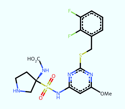 COc1cc(NS(=O)(=O)[C@@]2(NC(=O)O)CCNC2)nc(SCc2cccc(F)c2F)n1